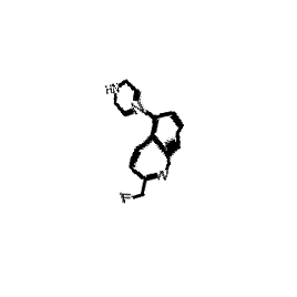 FCc1ccc2c(N3CCNCC3)cccc2n1